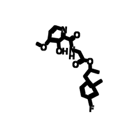 COc1ccnc(C(=O)NCC(=O)OC(C)Cc2ccc(F)cc2C)c1O